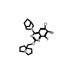 Fc1c(Br)c(Cl)cc2c(N3CC4CCC(C4)C3)nc(OCC34CCCN3CCC4)nc12